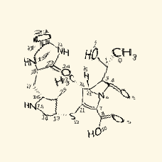 C[C@@H](O)[C@H]1C(=O)N2C(C(=O)O)=C(S[C@@H]3CN[C@H](CC4NC(=O)NC4=O)C3)[C@H](C)[C@H]12